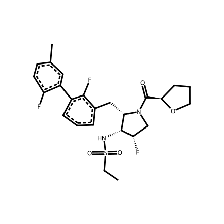 CCS(=O)(=O)N[C@H]1[C@@H](F)CN(C(=O)[C@H]2CCCO2)[C@H]1Cc1cccc(-c2cc(C)ccc2F)c1F